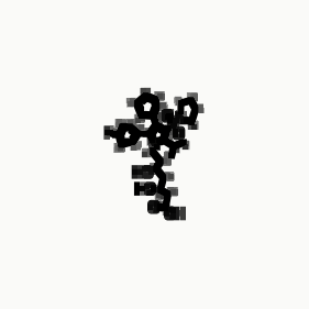 CC(C)c1c(S(=O)(=O)N2CCCC2)c(-c2ccccc2)c(-c2ccc(F)cc2)n1CC[C@@H](O)C[C@@H](O)CC(=O)O